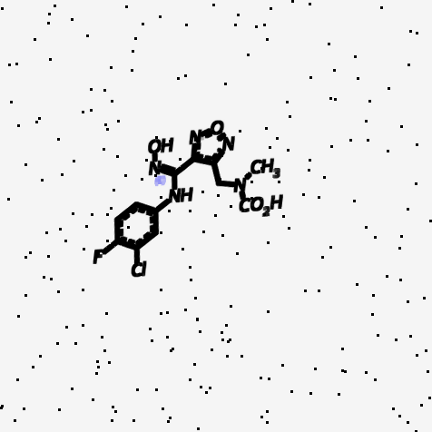 CN(Cc1nonc1/C(=N\O)Nc1ccc(F)c(Cl)c1)C(=O)O